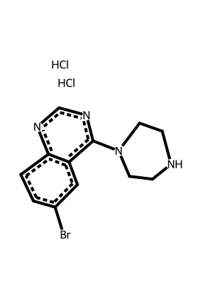 Brc1ccc2ncnc(N3CCNCC3)c2c1.Cl.Cl